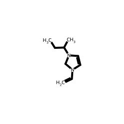 C=CN1C=CN(C(C)CC)C1